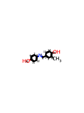 Cc1cc(C=Nc2ccc(O)cc2)ccc1O